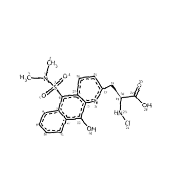 CN(C)S(=O)(=O)c1c2ccccc2c(O)c2nc(C[C@H](NCl)C(=O)O)ccc12